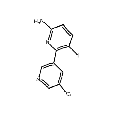 Nc1ccc(I)c(-c2cncc(Cl)c2)n1